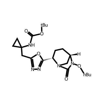 CCCCON1C(=O)N2C[C@@H]1CC[C@H]2c1nnc(CC2(NC(=O)OC(C)(C)C)CC2)o1